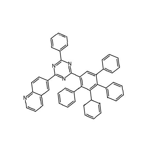 C1=CCC(c2c(-c3ccccc3)c(-c3ccccc3)cc(-c3nc(-c4ccccc4)nc(-c4ccc5ncccc5c4)n3)c2-c2ccccc2)C=C1